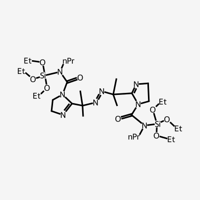 CCCN(C(=O)N1CCN=C1C(C)(C)/N=N/C(C)(C)C1=NCCN1C(=O)N(CCC)[Si](OCC)(OCC)OCC)[Si](OCC)(OCC)OCC